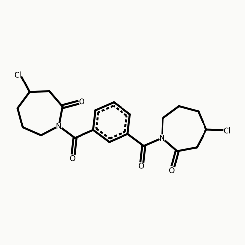 O=C1CC(Cl)CCCN1C(=O)c1cccc(C(=O)N2CCCC(Cl)CC2=O)c1